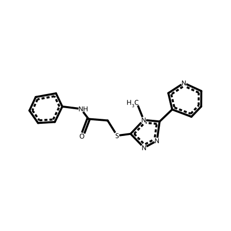 Cn1c(SCC(=O)Nc2ccccc2)nnc1-c1cccnc1